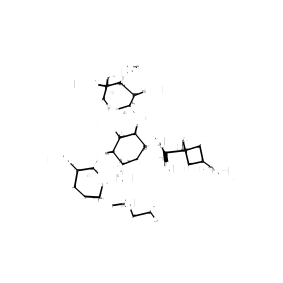 CN[C@@H]1C(O)[C@@H](OC2C(O)C(O[C@H]3O[C@H](CNCCO)CCC3N)[C@@H](N)C[C@H]2NC(=N)C2(O)CC(N)C2)OCC1(C)O